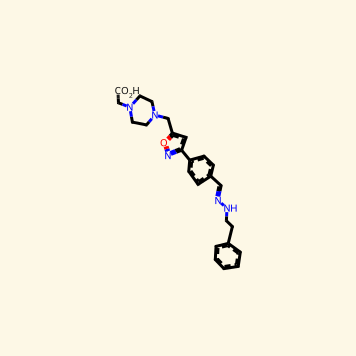 O=C(O)CN1CCN(Cc2cc(-c3ccc(C=NNCCc4ccccc4)cc3)no2)CC1